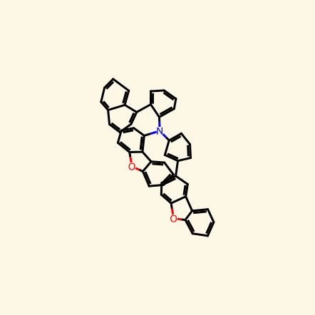 c1cc(-c2ccc3oc4ccccc4c3c2)cc(N(c2ccccc2-c2cccc3ccccc23)c2cccc3oc4ccccc4c23)c1